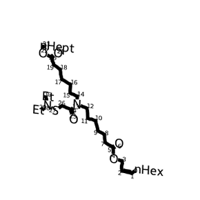 CCCCCC/C=C\COC(=O)CCCCCCN(CCCCCCC(=O)OCCCCCCC)C(=O)CSN(CC)CC